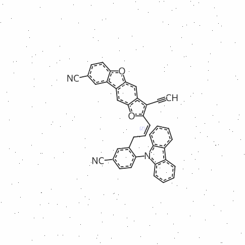 C#Cc1c(/C=C\Cc2cc(C#N)ccc2-n2c3ccccc3c3ccccc32)oc2cc3c(cc12)oc1ccc(C#N)cc13